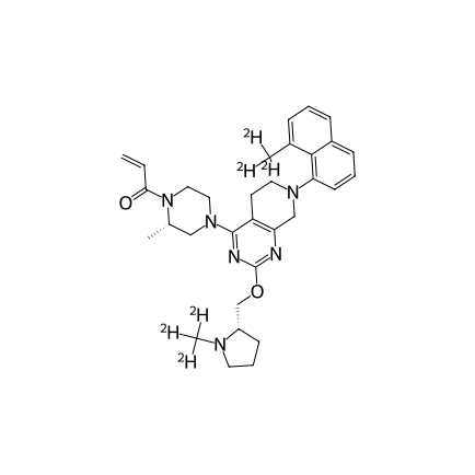 [2H]C([2H])([2H])c1cccc2cccc(N3CCc4c(nc(OC[C@@H]5CCCN5C([2H])([2H])[2H])nc4N4CCN(C(=O)C=C)[C@@H](C)C4)C3)c12